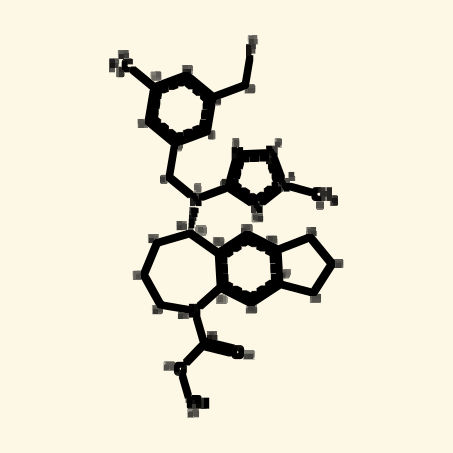 Cn1nnc(N(Cc2cc(CF)cc(C(F)(F)F)c2)[C@H]2CCCN(C(=O)OC(C)(C)C)c3cc4c(cc32)CCC4)n1